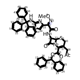 CO/N=C(/C(=O)NC1C(=O)N2C(C(=O)OC(c3ccccc3)c3ccccc3)=C(CC(C)=O)CSC12)c1csc(NC(c2ccccc2)(c2ccccc2)c2ccccc2)n1